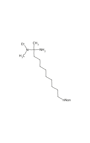 CCCCCCCCCCCCCCCCCCC(C)(N)N(C)CC